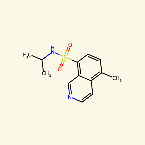 Cc1ccc(S(=O)(=O)NC(C)C(F)(F)F)c2cnccc12